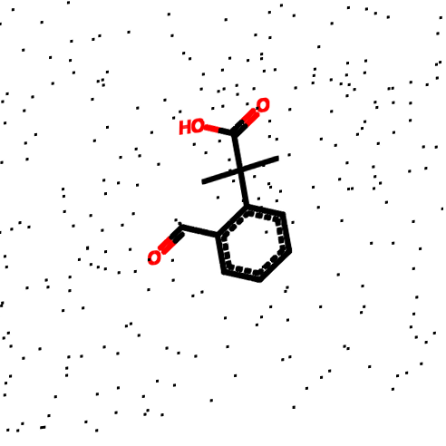 CC(C)(C(=O)O)c1ccccc1C=O